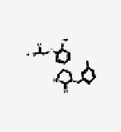 COc1ccc([C@H]2CNC(=O)[C@H](Cc3cccc(C)c3)C2)cc1OCC(N)=O